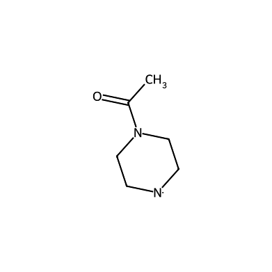 CC(=O)N1CC[N]CC1